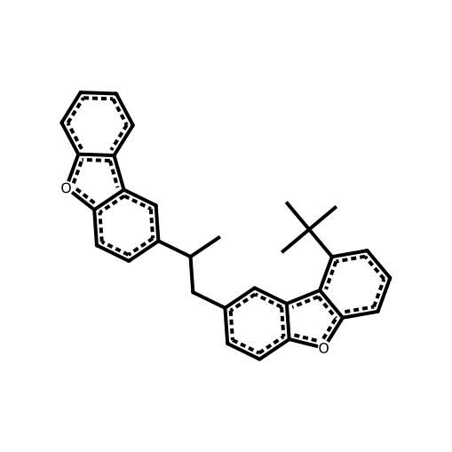 CC(Cc1ccc2oc3cccc(C(C)(C)C)c3c2c1)c1ccc2oc3ccccc3c2c1